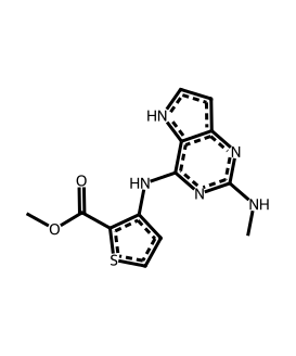 CNc1nc(Nc2ccsc2C(=O)OC)c2[nH]ccc2n1